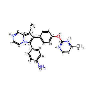 Cc1ccnc(Oc2ccc(-c3c(C#N)c4cnccn4c3-c3ccc(N)cc3)cc2)n1